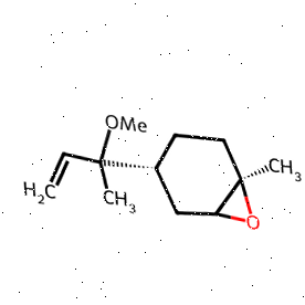 C=CC(C)(OC)[C@@H]1CC[C@@]2(C)OC2C1